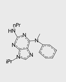 CCCNc1nc(N(C)c2ccccc2)c2ncn(C(C)C)c2n1